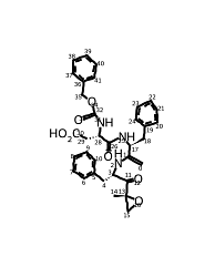 C=C(N[C@@H](Cc1ccccc1)C(=O)[C@@]1(C)CO1)[C@H](Cc1ccccc1)NC(=O)[C@H](CC(=O)O)NC(=O)OCc1ccccc1